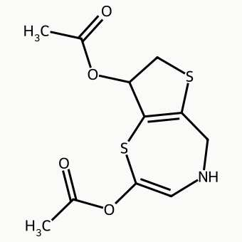 CC(=O)OC1=CNCC2=C(S1)C(OC(C)=O)CS2